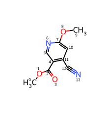 COC(=O)c1cnc(OC)cc1C#N